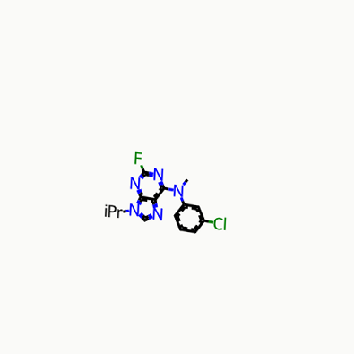 CC(C)n1cnc2c(N(C)c3cccc(Cl)c3)nc(F)nc21